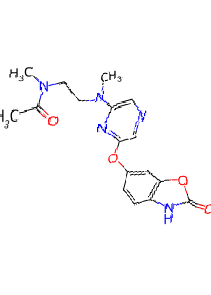 CC(=O)N(C)CCN(C)c1cncc(Oc2ccc3[nH]c(=O)oc3c2)n1